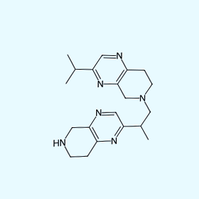 CC(C)c1cnc2c(n1)CN(CC(C)c1cnc3c(n1)CCNC3)CC2